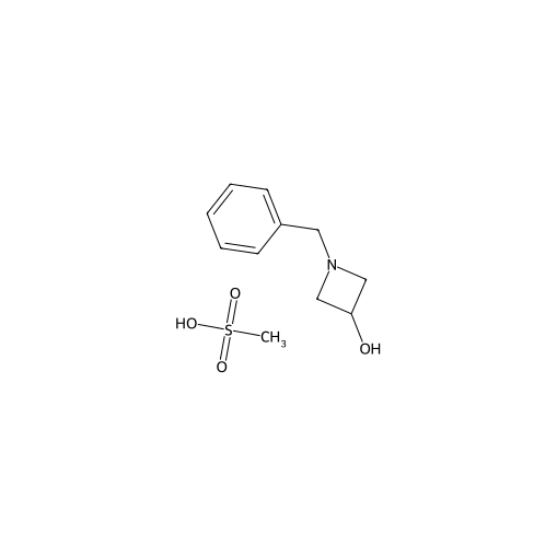 CS(=O)(=O)O.OC1CN(Cc2ccccc2)C1